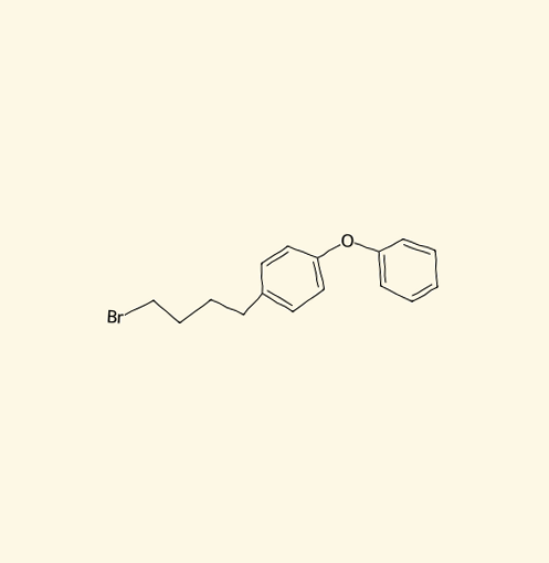 BrCCCCc1ccc(Oc2ccccc2)cc1